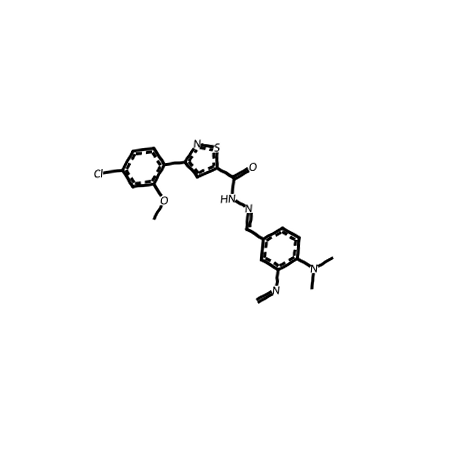 C=Nc1cc(/C=N/NC(=O)c2cc(-c3ccc(Cl)cc3OC)ns2)ccc1N(C)C